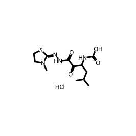 CC(C)CC(NC(=O)O)C(=O)C(=O)NN=C1SCCN1C.Cl